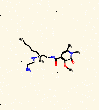 CCCCCC(C)(CCNC(=O)c1cc(C)n(C)c(=O)c1OC)NCCN